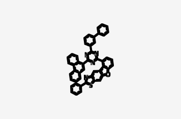 c1ccc(-c2cccc(-c3nc(-c4cc5ccccc5c5ccccc45)nc(-c4cccc5oc6cc7sc(-c8ccccc8)nc7cc6c45)n3)c2)cc1